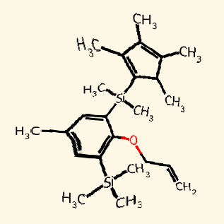 C=CCOc1c([Si](C)(C)C)cc(C)cc1[Si](C)(C)C1=C(C)C(C)=C(C)C1C